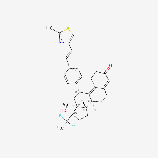 Cc1nc(C=Cc2ccc([C@H]3C[C@@]4(C)[C@@H](CC[C@@]4(O)C(F)(F)C(F)(F)F)[C@@H]4CCC5=CC(=O)CCC5=C43)cc2)cs1